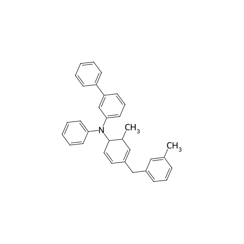 Cc1cccc(CC2=CC(C)C(N(c3ccccc3)c3cccc(-c4ccccc4)c3)C=C2)c1